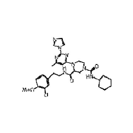 COc1ccc(CCNC(=O)C2CN(C(=O)NC3CCCCC3)CCN2c2cc(C)nc(-n3ccnc3)n2)cc1Cl